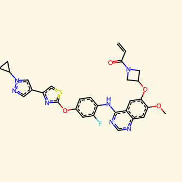 C=CC(=O)N1CC(Oc2cc3c(Nc4ccc(Oc5nc(-c6cnn(C7CC7)c6)cs5)cc4F)ncnc3cc2OC)C1